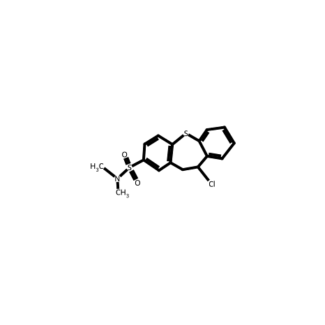 CN(C)S(=O)(=O)c1ccc2c(c1)CC(Cl)c1ccccc1S2